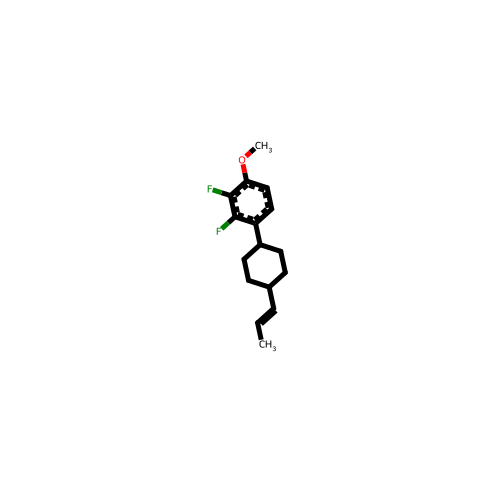 CC=CC1CCC(c2ccc(OC)c(F)c2F)CC1